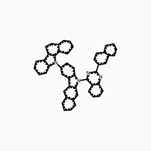 c1ccc2cc(-c3nc(-n4c5ccc(-n6c7ccccc7c7ccc8ccccc8c76)cc5c5cc6ccccc6cc54)c4ccccc4n3)ccc2c1